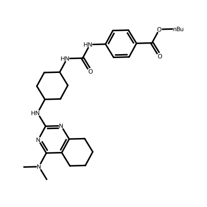 CCCCOC(=O)c1ccc(NC(=O)NC2CCC(Nc3nc4c(c(N(C)C)n3)CCCC4)CC2)cc1